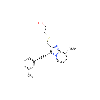 COc1cccn2c(C#Cc3cccc(C(F)(F)F)c3)c(CSCCO)nc12